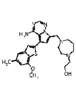 COc1cc(C)cc2cc(-c3cc(CN4CCCN(CCO)CC4)n4ncnc(N)c34)sc12